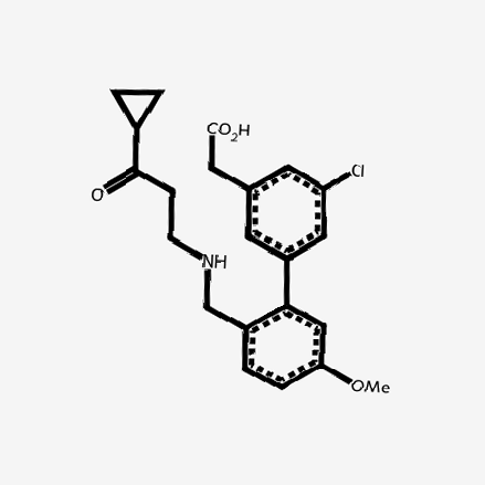 COc1ccc(CNCCC(=O)C2CC2)c(-c2cc(Cl)cc(CC(=O)O)c2)c1